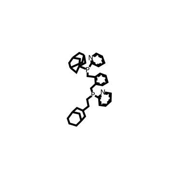 c1ccc(P(CCC2CC3CCCC(C3)C2)Cc2ccccc2CP(c2ccccn2)C23CC4CC(CC(C4)C2)C3)nc1